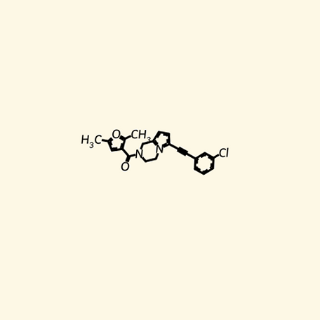 Cc1cc(C(=O)N2CCn3c(C#Cc4cccc(Cl)c4)ccc3C2)c(C)o1